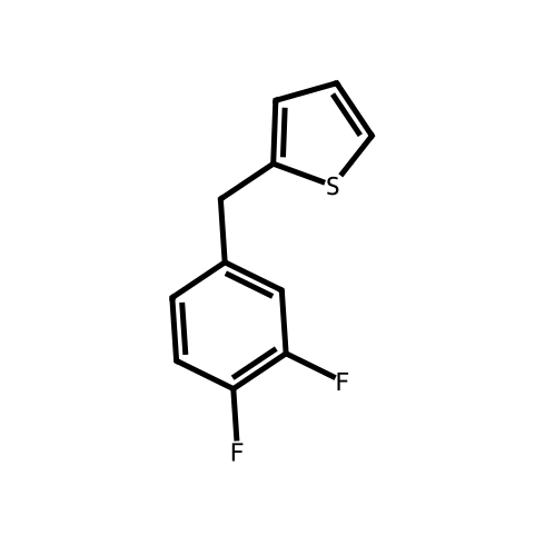 Fc1ccc(Cc2cccs2)cc1F